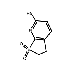 O=S1(=O)CCc2ccc(S)nc21